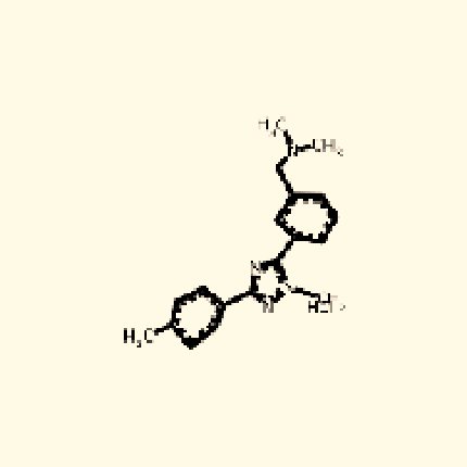 Cc1ccc(-c2nc(-c3cccc(CN(C)C)c3)n(C)n2)cc1.Cl